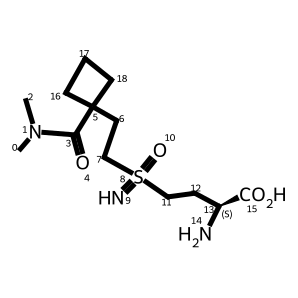 CN(C)C(=O)C1(CCS(=N)(=O)CC[C@H](N)C(=O)O)CCC1